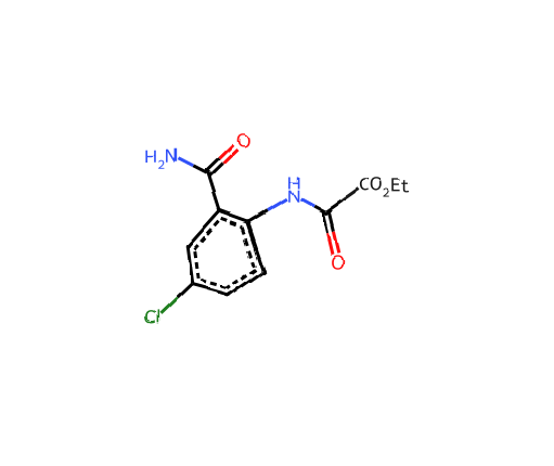 CCOC(=O)C(=O)Nc1ccc(Cl)cc1C(N)=O